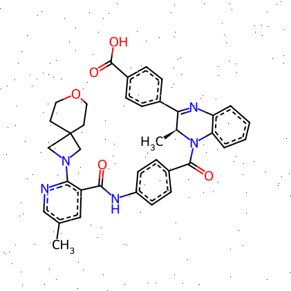 Cc1cnc(N2CC3(CCOCC3)C2)c(C(=O)Nc2ccc(C(=O)N3c4ccccc4N=C(c4ccc(C(=O)O)cc4)[C@@H]3C)cc2)c1